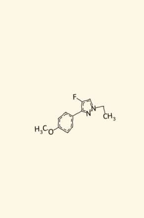 CCn1cc(F)c(-c2ccc(OC)cc2)n1